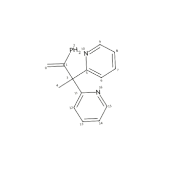 C=C(P)C(C)(c1ccccn1)c1ccccn1